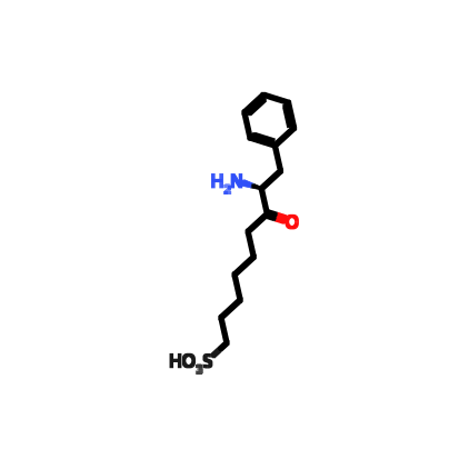 N[C@@H](Cc1ccccc1)C(=O)CCCCCCS(=O)(=O)O